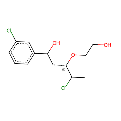 CC(Cl)[C@H](CC(O)c1cccc(Cl)c1)OCCO